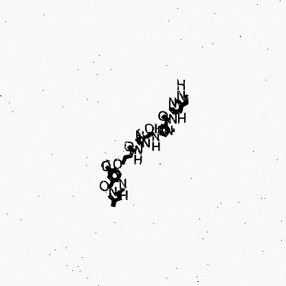 C=C1C[C@H]2C=Nc3cc(OCCCC(=O)Nc4cn(C)c(C(O)Nc5cc(C(=O)Nc6cnc7[nH]ccc7c6)n(C)c5)n4)c(OC)cc3C(=O)N2C1